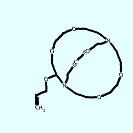 C=CCOC1COCCOCCN2CCOCCOCCN1CCOCCOCC2